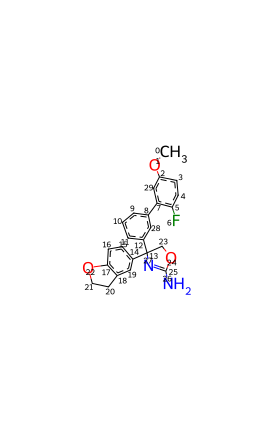 COc1ccc(F)c(-c2cccc(C3(c4ccc5c(c4)CCO5)COC(N)=N3)c2)c1